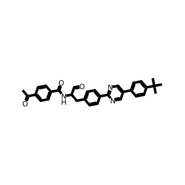 CC(=O)c1ccc(C(=O)NC(C=O)Cc2ccc(-c3ncc(-c4ccc(C(C)(C)C)cc4)cn3)cc2)cc1